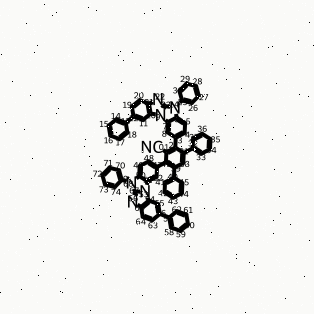 N#Cc1c(-c2ccc3c(c2)n2c4cc(-c5ccccc5)ccc4nc2n3-c2ccccc2)c(-c2ccccc2)cc(-c2ccccc2)c1-c1ccc2c(c1)n1c3cc(-c4ccccc4)ccc3nc1n2-c1ccccc1